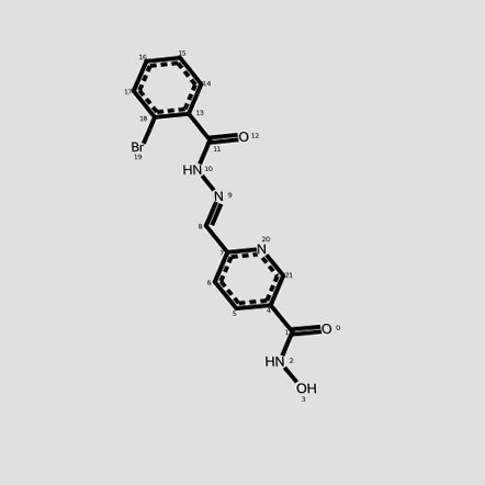 O=C(NO)c1ccc(C=NNC(=O)c2ccccc2Br)nc1